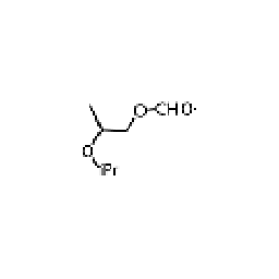 CC(C)OC(C)CO[C]=O